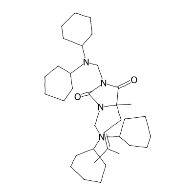 CC(C)=CCC1(C)C(=O)N(CN(C2CCCCC2)C2CCCCC2)C(=O)N1CN(C1CCCCC1)C1CCCCC1